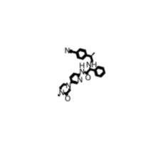 C[C@@H](CN[C@H](C(=O)Nc1ccc(N2CCN(C)C(=O)C2)cn1)c1ccccc1)c1ccc(C#N)cc1